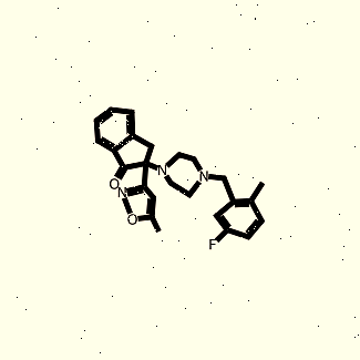 Cc1cc(C2(N3CCN(Cc4cc(F)ccc4C)CC3)Cc3ccccc3C2=O)no1